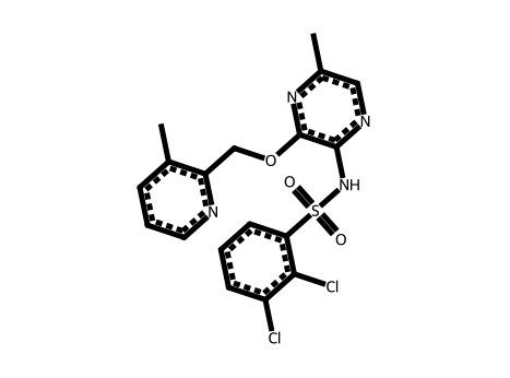 Cc1cnc(NS(=O)(=O)c2cccc(Cl)c2Cl)c(OCc2ncccc2C)n1